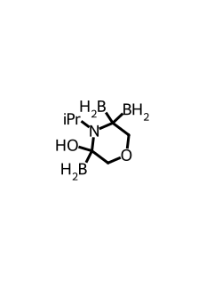 BC1(B)COCC(B)(O)N1C(C)C